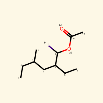 CCC(C)CC(CC)C(I)OC(C)=O